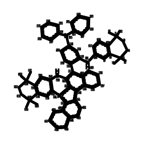 CC1(C)CCC(C)(C)c2cc(Nc3cc(N(c4ccccc4)c4ccccc4)ccc3-c3c4c5c(c6ccccc36)c3ccc6ccccc6c3n5-c3cc5c(cc3B4)C(C)(C)CCC5(C)C)ccc21